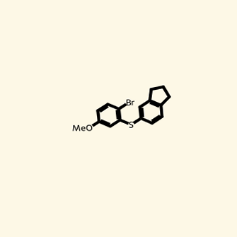 COc1ccc(Br)c(Sc2ccc3c(c2)CCC3)c1